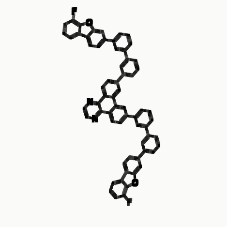 Fc1cccc2c1oc1cc(-c3cccc(-c4cccc(-c5ccc6c(c5)c5cc(-c7cccc(-c8cccc(-c9ccc%10c(c9)oc9c(F)cccc9%10)c8)c7)ccc5c5nccnc65)c4)c3)ccc12